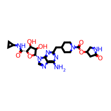 Nc1nc(CC2CCN(C(=O)OC3CNC(=O)C3)CC2)nc2c1ncn2[C@@H]1O[C@H](C(=O)NC2CC2)C(O)C1O